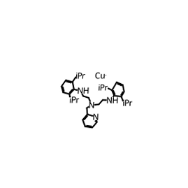 CC(C)c1cccc(C(C)C)c1NCCN(CCNc1c(C(C)C)cccc1C(C)C)Cc1ccccn1.[Cu]